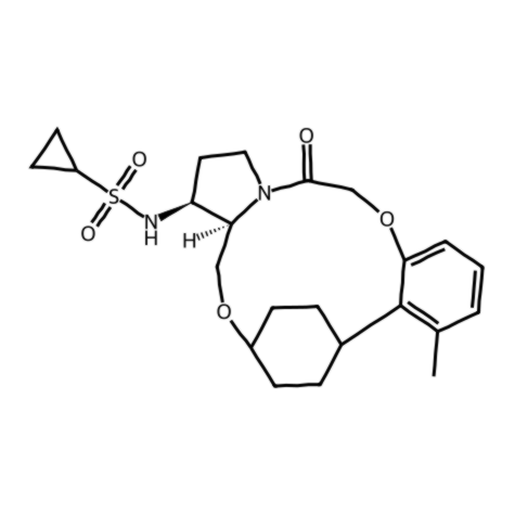 Cc1cccc2c1C1CCC(CC1)OC[C@H]1[C@@H](NS(=O)(=O)C3CC3)CCN1C(=O)CO2